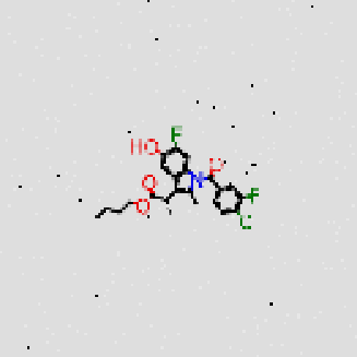 CCCCOC(=O)[C@H](C)c1c(C)n(C(=O)c2ccc(Cl)c(F)c2)c2cc(F)c(O)cc12